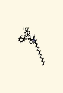 CCCCCCCCCCCCC/C=C(/C)[C@@H](O)[C@H](COC1CCCCO1)NC(=O)OC(C)(C)C